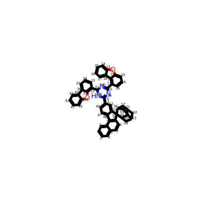 c1ccc2c3c(ccc2c1)C1(c2cc(C4=NC(c5cccc6oc7ccccc7c56)=NC(c5cccc6c5oc5ccccc56)N4)ccc2-3)C2CC3CC(C2)CC1C3